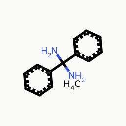 C.NC(N)(c1ccccc1)c1ccccc1